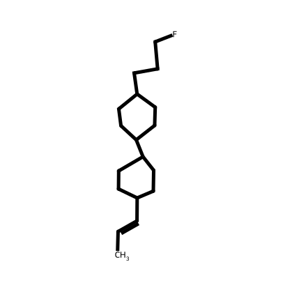 C/C=C/C1CCC(C2CCC(CCCF)CC2)CC1